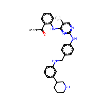 CNC(=O)c1ccccc1Nc1nc(Nc2ccc(CNc3cccc(C4CCCNC4)c3)cc2)ncc1C(F)(F)F